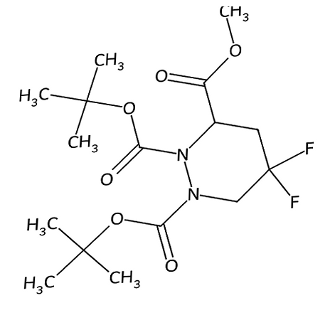 COC(=O)C1CC(F)(F)CN(C(=O)OC(C)(C)C)N1C(=O)OC(C)(C)C